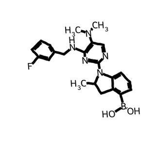 CC1Cc2c(B(O)O)cccc2N1c1ncc(N(C)C)c(NCc2cccc(F)c2)n1